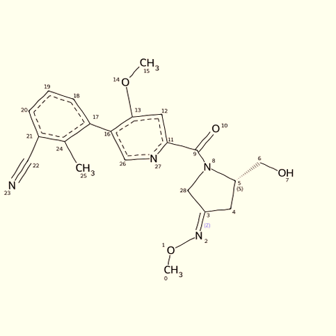 CO/N=C1/C[C@@H](CO)N(C(=O)c2cc(OC)c(-c3cccc(C#N)c3C)cn2)C1